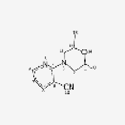 CC1CN(c2ncccc2C#N)CC(C)O1